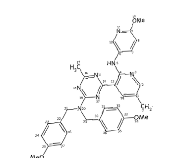 [CH2]c1cnc(Nc2ccc(OC)nc2)c(-c2nc(C)nc(N(Cc3ccc(OC)cc3)Cc3ccc(OC)cc3)n2)c1